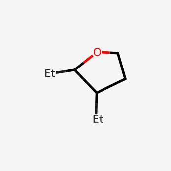 CCC1CCOC1CC